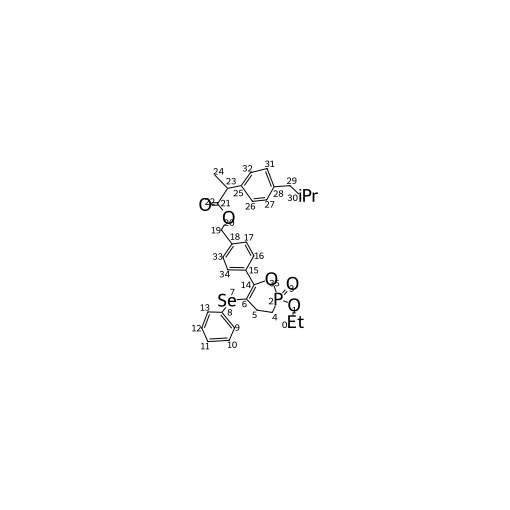 CCOP1(=O)CCC([Se]c2ccccc2)=C(c2ccc(COC(=O)C(C)c3ccc(CC(C)C)cc3)cc2)O1